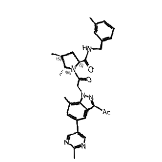 CC(=O)c1nn(CC(=O)N2[C@H](C)[C@@H](C)C[C@H]2C(=O)NCc2cccc(C)c2)c2c(C)cc(-c3cnc(C)nc3)cc12